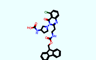 O=C(O)NC1CCN(n2c(CCNC(=O)OCC3c4ccccc4-c4ccccc43)nc3cccc(Cl)c3c2=O)C1